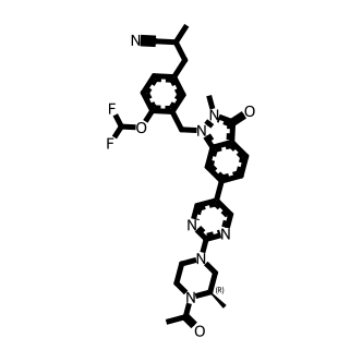 CC(=O)N1CCN(c2ncc(-c3ccc4c(=O)n(C)n(Cc5cc(CC(C)C#N)ccc5OC(F)F)c4c3)cn2)C[C@H]1C